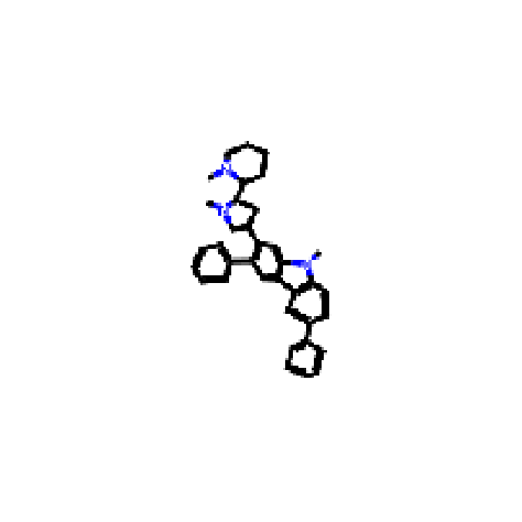 CN1CCCCC1C1CC(c2cc3c(cc2-c2ccccc2)c2cc(-c4ccccc4)ccc2n3C)CN1C